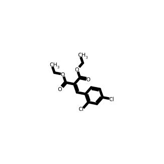 CCOC(=O)C(=Cc1ccc(Cl)cc1Cl)C(=O)OCC